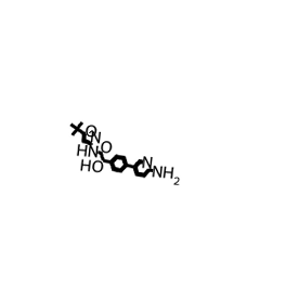 CC(C)(C)c1cc(NC(=O)C(O)c2ccc(-c3ccc(N)nc3)cc2)no1